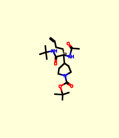 C=CCC[C@@](NC(C)=O)(C(=O)NC(C)(C)C)C1CCN(C(=O)OC(C)(C)C)CC1